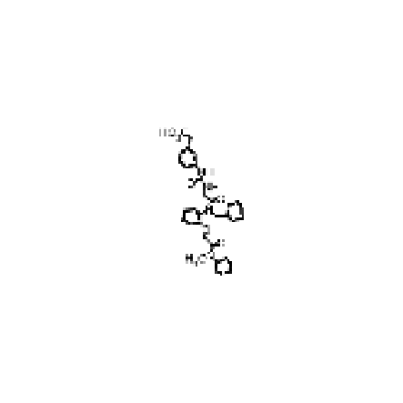 CN(C(=O)COc1ccccc1N(Cc1ccccc1)C(=O)CNC(=O)Nc1cccc(CC(=O)O)c1)c1ccccc1